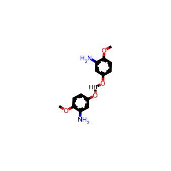 COc1ccc(OBOc2ccc(OC)c(N)c2)cc1N